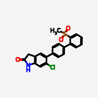 CS(=O)(=O)c1ccccc1-c1ccc(-c2cc3c(cc2Cl)NC(=O)C3)cc1